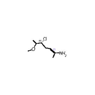 COC(C)[C@H](Cl)C/C=C(\C)N